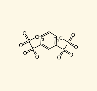 CS(=O)(=O)S(=O)(=O)c1[c]ccc(S(=O)(=O)S(C)(=O)=O)c1